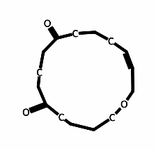 O=C1CCCC=CCOCCCCC(=O)CCC1